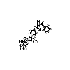 CC(C)(C)OC(=O)NS(=O)(=O)N1CC(CC#N)(N2CCC(OC(=O)N[C@@H]3C[C@H]3c3ccccc3)CC2)C1